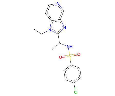 CCn1c([C@@H](C)NS(=O)(=O)c2ccc(Cl)cc2)nc2cnccc21